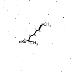 [CH2]CCCC(C)CCCC=CC